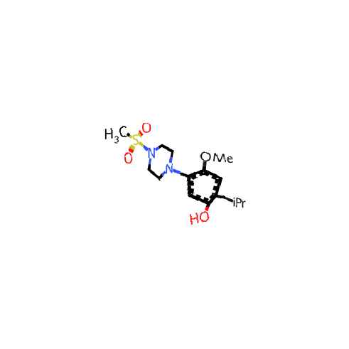 COc1cc(C(C)C)c(O)cc1N1CCN(S(C)(=O)=O)CC1